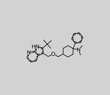 CN(C)C1(c2ccccc2)CCC(COCc2c(C(C)(C)C)[nH]c3ncccc23)CC1